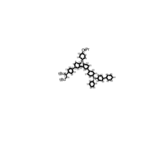 CC(C)Oc1ccc(-n2c3ccc(-c4ccc(C(CC(C)(C)C)C(C)(C)C)cc4)cc3c3cc(-c4ccc(N(c5ccccc5)c5ccc(-c6ccccc6)cc5)cc4)ccc32)cc1